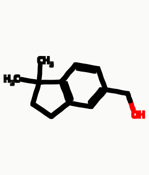 CC1(C)CCc2cc(CO)ccc21